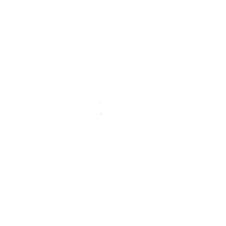 CC1(C)C2CCC1(C)C(O)(O)C2c1ccc(F)cc1